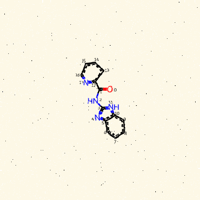 O=C(Nc1nc2ccccc2[nH]1)c1ccccn1